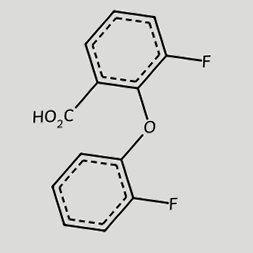 O=C(O)c1cccc(F)c1Oc1ccccc1F